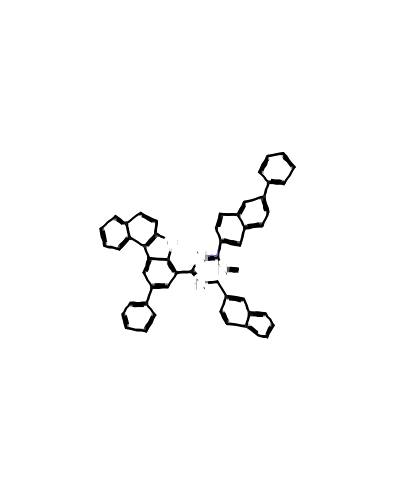 C=N/C(=N\C(=N/Cc1ccc2ccccc2c1)c1cc(-c2ccccc2)cc2c1oc1ccc3ccccc3c12)c1ccc2cc(-c3ccccc3)ccc2c1